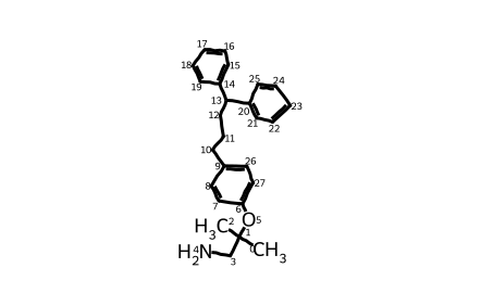 CC(C)(CN)Oc1ccc(CCCC(c2ccccc2)c2ccccc2)cc1